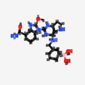 COc1nc2c(C(N)=O)cccc2n1-c1nc2c(c(NCc3cccc(B(O)O)c3)n1)NCC2